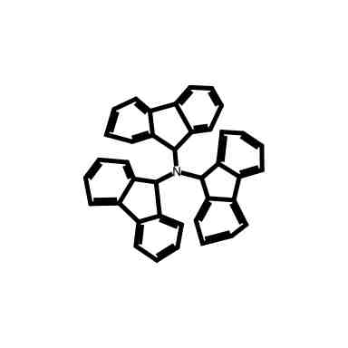 c1ccc2c(c1)-c1ccccc1C2N(C1c2ccccc2-c2ccccc21)C1c2ccccc2-c2ccccc21